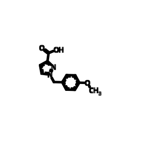 COc1ccc(Cn2ccc(C(=O)O)n2)cc1